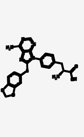 Nc1ncnc2c1nc(Sc1ccc3c(c1)OCO3)n2-c1ccc(C[C@H](N)C(=O)O)cc1